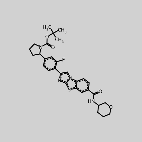 CC(C)(C)OC(=O)N1CCCC1c1ccc(-c2cn3c(n2)sc2cc(C(=O)NC4CCCOC4)ccc23)c(F)c1